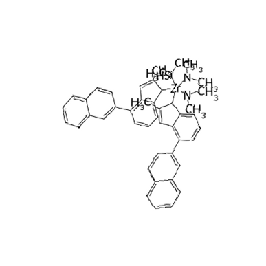 CC1=Cc2c(-c3ccc4ccccc4c3)cccc2[CH]1[Zr]([CH]1C(C)=Cc2c(-c3ccc4ccccc4c3)cccc21)([N](C)C)([N](C)C)[SiH](C)C